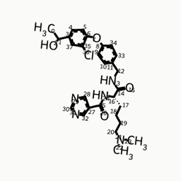 CC(O)c1ccc(Oc2ccc(CNC(=O)[C@H](CCCCN(C)C)NC(=O)c3cncnc3)cc2)c(Cl)c1